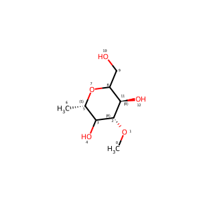 CO[C@@H]1C(O)[C@H](C)OC(CO)[C@H]1O